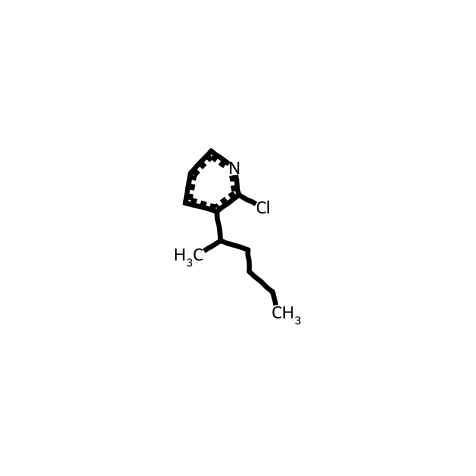 CCCCC(C)c1cccnc1Cl